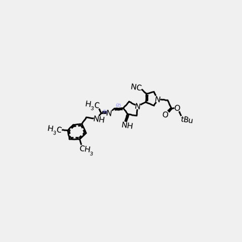 C/C(=N\C=C1\CN(C2=C(C#N)CN(CC(=O)OC(C)(C)C)C2)CC1=N)NCc1cc(C)cc(C)c1